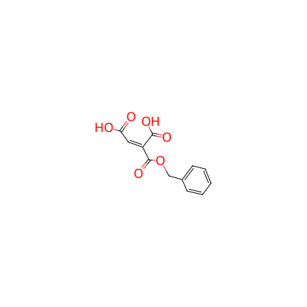 O=C(O)/C=C(\C(=O)O)C(=O)OCc1ccccc1